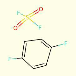 Fc1ccc(F)cc1.O=S(=O)(F)F